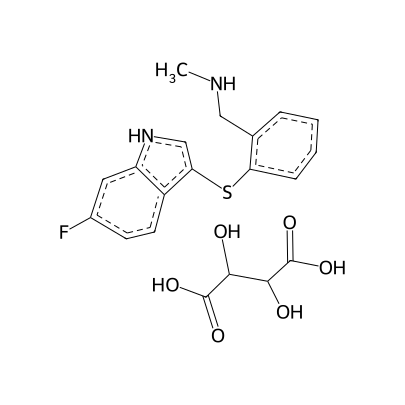 CNCc1ccccc1Sc1c[nH]c2cc(F)ccc12.O=C(O)C(O)C(O)C(=O)O